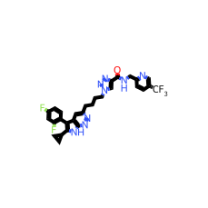 O=C(NCc1ccc(C(F)(F)F)cn1)c1cn(CCCCc2cc3c(-c4ccc(F)cc4F)c(C4CC4)[nH]c3nn2)nn1